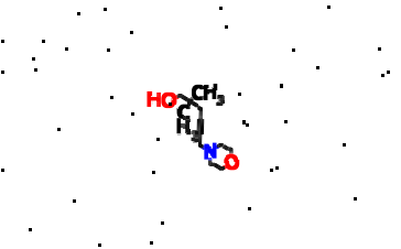 CC(C)(CO)CC#CCN1CCOCC1